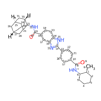 CC1CCCCC1NC(=O)c1ccc(-c2nc3cc(C(=O)NC4C5C[C@H]6C[C@@H](C5)C[C@@H]4C6)ccc3[nH]2)cc1